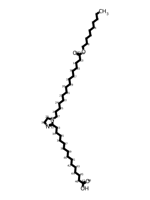 CCCCCCCCCCOC(=O)CCCCCCCCCCCCCCCN1CCN=C1CCCCCCCCCCCCCCC(=O)O